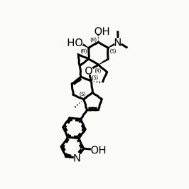 CN(C)[C@H]1C[C@@]23CC[C@@]4(O2)C(=CC[C@]2(C)C(c5ccc6ccnc(O)c6c5)=CCC24)C2CC23[C@@H](O)[C@@H]1O